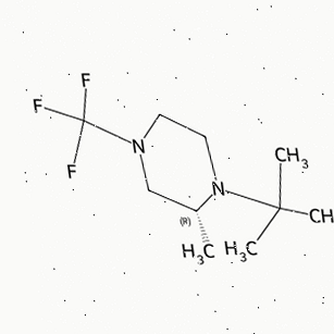 C[C@@H]1CN(C(F)(F)F)CCN1C(C)(C)C